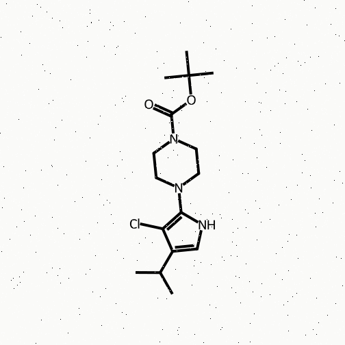 CC(C)c1c[nH]c(N2CCN(C(=O)OC(C)(C)C)CC2)c1Cl